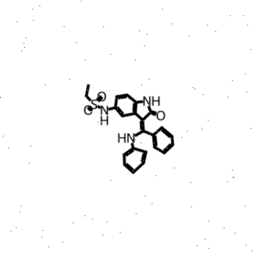 CCS(=O)(=O)Nc1ccc2c(c1)C(=C(Nc1ccccc1)c1ccccc1)C(=O)N2